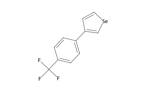 FC(F)(F)c1ccc(-c2cc[se]c2)cc1